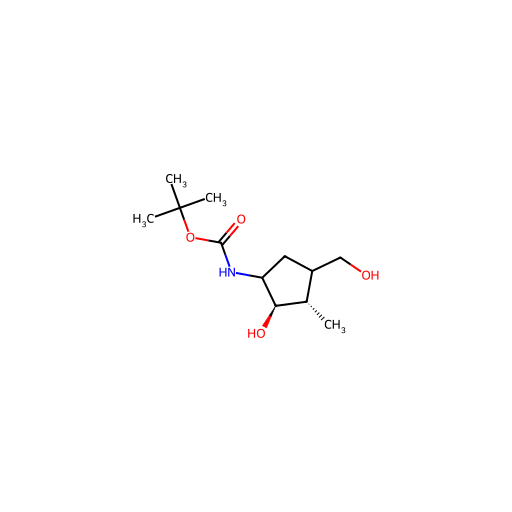 C[C@H]1C(CO)CC(NC(=O)OC(C)(C)C)[C@@H]1O